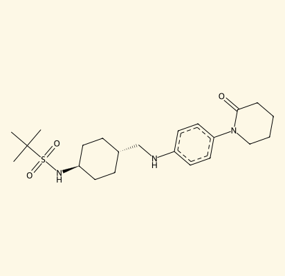 CC(C)(C)S(=O)(=O)N[C@H]1CC[C@H](CNc2ccc(N3CCCCC3=O)cc2)CC1